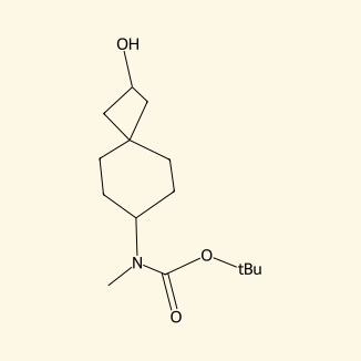 CN(C(=O)OC(C)(C)C)C1CCC2(CC1)CC(O)C2